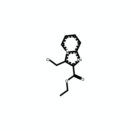 CCOC(=O)c1nc2ccccn2c1CCl